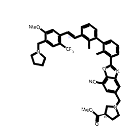 COC(=O)[C@@H]1CCN(Cc2cc(C#N)c3oc(-c4cccc(-c5cccc(/C=C/c6cc(OC)c(CN7CCCC7)cc6C(F)(F)F)c5C)c4C)nc3c2)C1